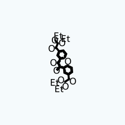 CCOC(OCC)C(=O)c1ccc2oc3ccc(C(=O)C(OCC)OCC)cc3c(=O)c(=O)c2c1